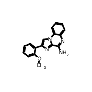 COc1ccccc1-c1cn2c(n1)c(N)nc1ccccc12